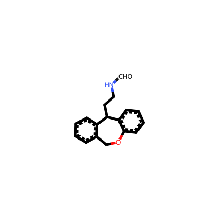 O=CNCCC1c2ccccc2COc2ccccc21